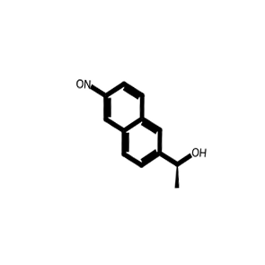 C[C@H](O)c1ccc2cc(N=O)ccc2c1